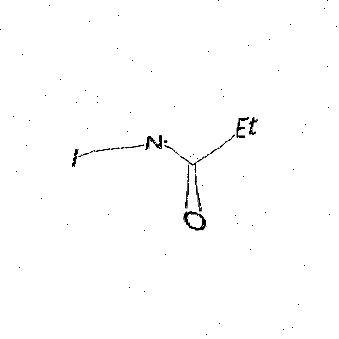 CCC(=O)[N]I